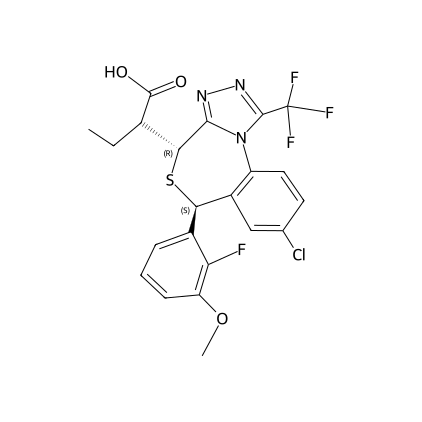 CCC(C(=O)O)[C@H]1S[C@H](c2cccc(OC)c2F)c2cc(Cl)ccc2-n2c1nnc2C(F)(F)F